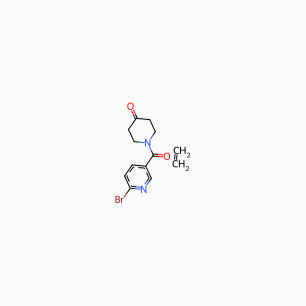 C=C.O=C1CCN(C(=O)c2ccc(Br)nc2)CC1